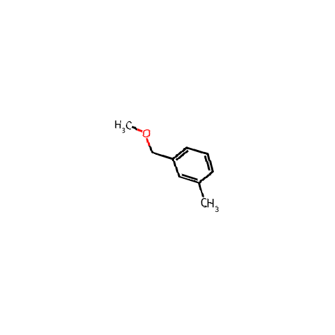 COCc1cccc(C)c1